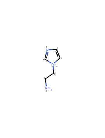 N[CH]Cn1ccnc1